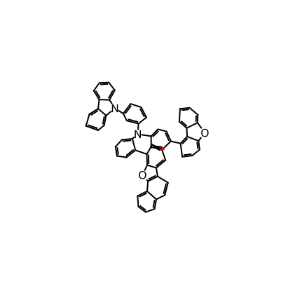 c1cc(N(c2ccc(-c3cccc4oc5ccccc5c34)cc2)c2ccccc2-c2cccc3c2oc2c4ccccc4ccc32)cc(-n2c3ccccc3c3ccccc32)c1